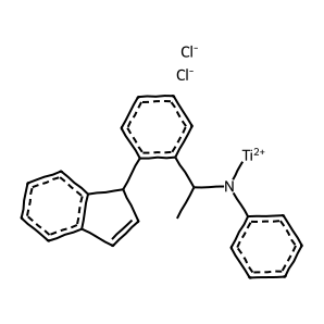 CC(c1ccccc1C1C=Cc2ccccc21)[N]([Ti+2])c1ccccc1.[Cl-].[Cl-]